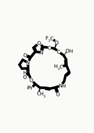 CC1=C\[C@@H](O)C[C@H](OC(F)(F)F)Cc2nc(co2)C(=O)N2CCC[C@@H]2C(=O)OC(C(C)C)[C@H](C)/C=C/C(=O)NC\C=C\1